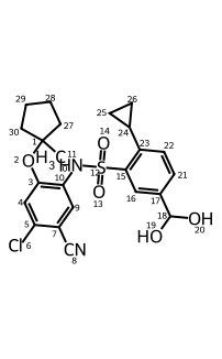 CC1(Oc2cc(Cl)c(C#N)cc2NS(=O)(=O)c2cc(C(O)O)ccc2C2CC2)CCCC1